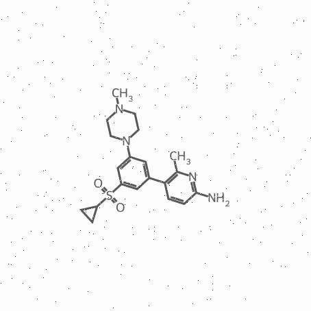 Cc1nc(N)ccc1-c1cc(N2CCN(C)CC2)cc(S(=O)(=O)C2CC2)c1